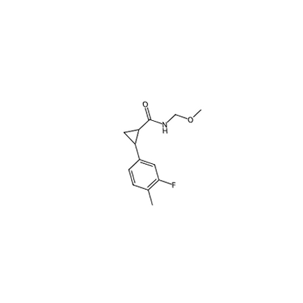 COCNC(=O)C1CC1c1ccc(C)c(F)c1